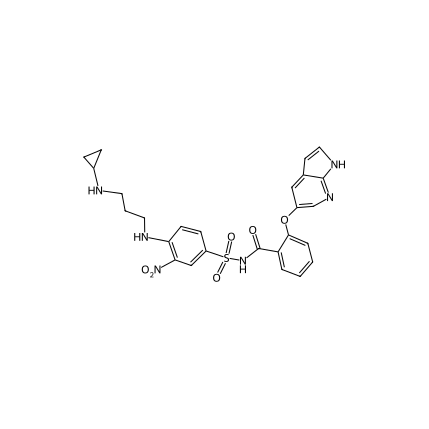 O=C(NS(=O)(=O)c1ccc(NCCCNC2CC2)c([N+](=O)[O-])c1)c1ccccc1Oc1cnc2[nH]ccc2c1